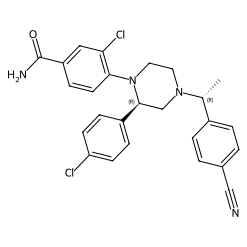 C[C@H](c1ccc(C#N)cc1)N1CCN(c2ccc(C(N)=O)cc2Cl)[C@H](c2ccc(Cl)cc2)C1